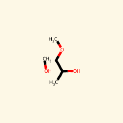 CO.COCC(C)O